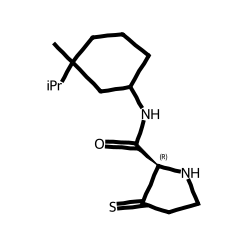 CC(C)C1(C)CCCC(NC(=O)[C@H]2NCCC2=S)C1